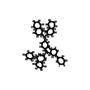 c1ccc(-c2ccc3c4cc(-n5c6ccc7ccccc7c6c6c7ccccc7ccc65)ccc4n(-c4nc(-c5ccccc5)c5ccccc5n4)c3c2)cc1